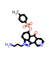 Cc1ccc(S(=O)(=O)Oc2ccc3c4c(nn3CCCN)-c3cnccc3C(=O)c24)cc1